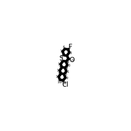 O=c1c2cc(F)ccc2sc2cc3cc4ccc(Cl)cc4cc3cc12